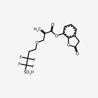 C=C(COCCC(F)(F)C(F)(F)S(=O)(=O)O)C(=O)Oc1cccc2c1OC(=O)C2